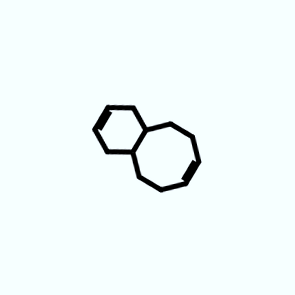 C1=CCC2CC/C=C\CCC2C1